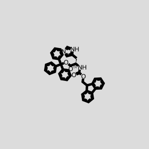 O=C(N[C@@H](Cc1cnc[nH]1)C(=O)OC(c1ccccc1)(c1ccccc1)c1ccccc1)OCC1c2ccccc2-c2ccccc21